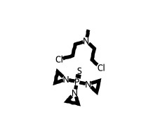 CN(CCCl)CCCl.S=P(N1CC1)(N1CC1)N1CC1